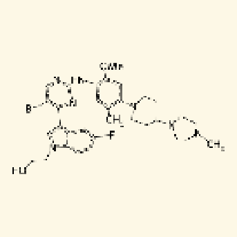 COc1cc(N2CCC(N3CCN(C)CC3)CC2)c(C)cc1Nc1ncc(Br)c(-c2cn(CCO)c3ccc(F)cc23)n1